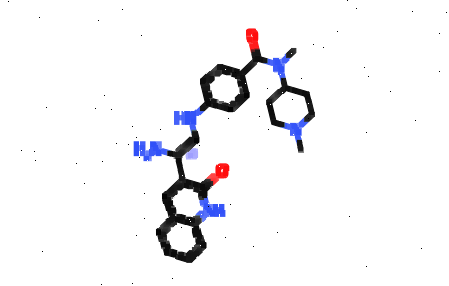 CN1CCC(N(C)C(=O)c2ccc(N/C=C(\N)c3cc4ccccc4[nH]c3=O)cc2)CC1